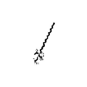 CCCCCCCCCCCCCCCCCC(=O)N(C(C)=O)[C@@H](CCC(=O)O)C(=O)O